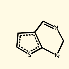 C1=NC[N]c2sccc21